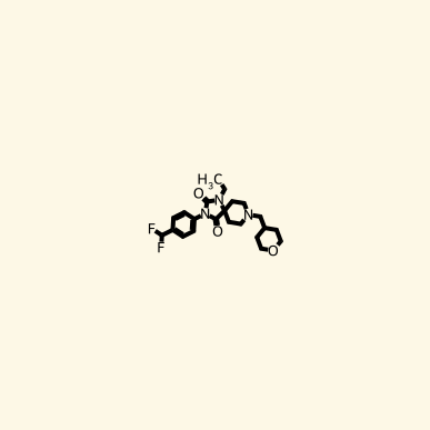 CCN1C(=O)N(c2ccc(C(F)F)cc2)C(=O)C12CCN(CC1CCOCC1)CC2